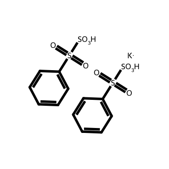 O=S(=O)(O)S(=O)(=O)c1ccccc1.O=S(=O)(O)S(=O)(=O)c1ccccc1.[K]